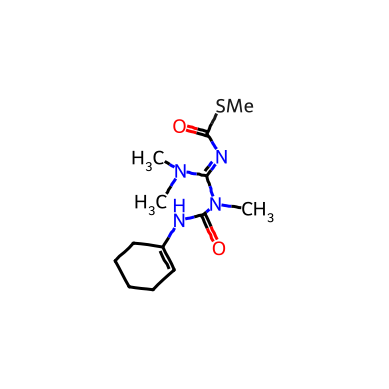 CSC(=O)N=C(N(C)C)N(C)C(=O)NC1=CCCCC1